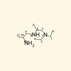 CCN(CC)CC(C)NCC(C)N